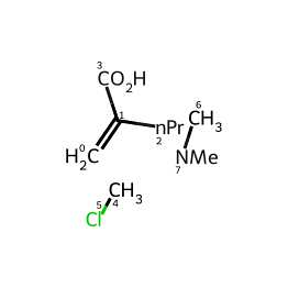 C=C(CCC)C(=O)O.CCl.CNC